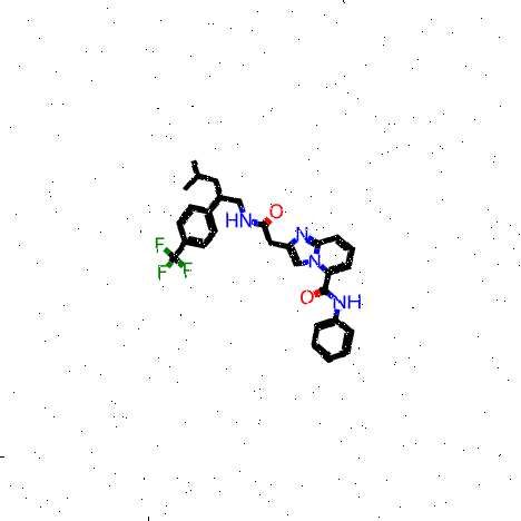 CC(C)CC(CNC(=O)Cc1cn2c(C(=O)Nc3ccccc3)cccc2n1)c1ccc(C(F)(F)F)cc1